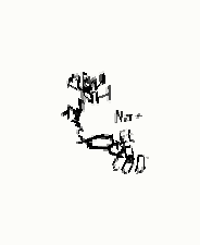 CCCCOC(=O)NCCN(C)CCSc1ccc2c(c1)CC(C(=O)[O-])C(=O)N2CC.[Na+]